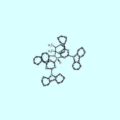 CC1C=CC=CC1(C)N(c1ccccc1)P(=O)(c1nc(-c2ccccc2)nc(-n2c3ccccc3c3ccccc32)n1)c1nc(-c2ccccc2)nc(-n2c3ccccc3c3ccccc32)n1